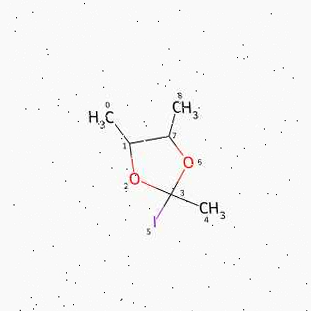 CC1OC(C)(I)OC1C